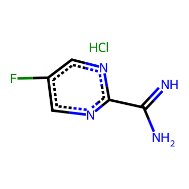 Cl.N=C(N)c1ncc(F)cn1